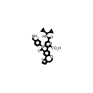 NCc1ccc(NC(=O)c2cc3c(cc2-c2ccc(C(=O)NC(C4CC4)C4CC4)nc2C(=O)O)OCCc2ccsc2-3)cc1